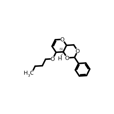 CCCCOC1C=COC2COC(c3ccccc3)O[C@@H]12